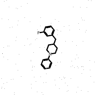 Fc1cccc(CC2CCN(c3ccccc3)CC2)c1